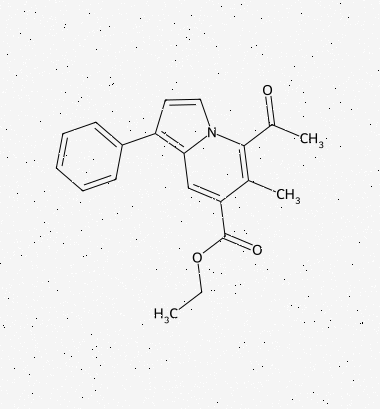 CCOC(=O)c1cc2c(-c3ccccc3)ccn2c(C(C)=O)c1C